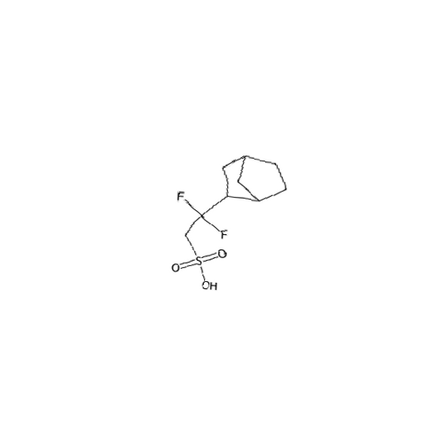 O=S(=O)(O)CC(F)(F)C1CC2CCC1C2